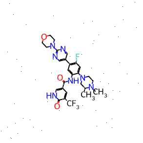 C[C@H]1CN(c2cc(F)c(-c3cnc(N4CCOCC4)nc3)cc2NC(=O)c2c[nH]c(=O)c(C(F)(F)F)c2)CCN1C